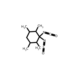 CC1CC(C)C(C)C(N=C=O)(N=C=O)C1C